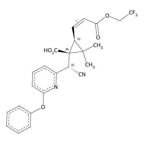 CC1(C)[C@H](/C=C\C(=O)OCC(F)(F)F)[C@@]1(C(=O)O)[C@H](C#N)c1cccc(Oc2ccccc2)n1